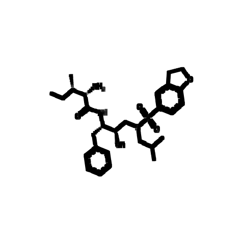 CC[C@H](C)[C@H](N)C(=O)N[C@@H](Cc1ccccc1)[C@H](O)CN(CC(C)C)S(=O)(=O)c1ccc2c(c1)CCO2